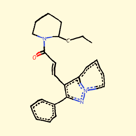 CCCC1CCCCN1C(=O)C=Cc1c(-c2ccccc2)nn2ccccc12